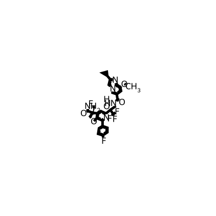 COc1cc(C(=O)NCC(O)(c2cc3c(c(-c4ccc(F)cc4)n2)OC[C@]3(CF)C(N)=O)C(F)(F)F)cn2cc(C3CC3)nc12